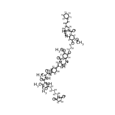 COc1cc2c(cc1OCCCOc1cc3c(cc1OC)C(=O)N1C=C(c4ccc(NC(=O)[C@H](C)NC(=O)[C@@H](NC(=O)CCCCCN5C(=O)C=CC5=O)C(C)C)cc4)C[C@H]1C=N3)N=C[C@@H]1CC(C=Cc3ccccc3)=CN1C2=O